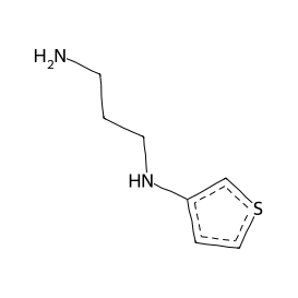 NCCCNc1ccsc1